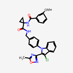 COc1cccc(C(=O)NC2(C(=O)NCc3ccc(-n4c(-c5noc(C)n5)c(Cl)c5ccccc54)cc3)CC2)c1